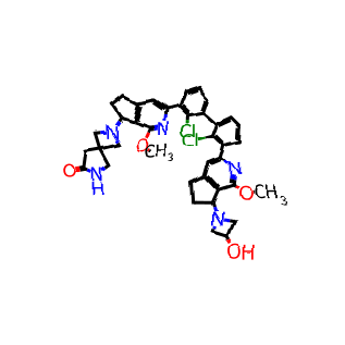 COc1nc(-c2cccc(-c3cccc(-c4cc5c(c(OC)n4)C(N4CC6(CNC(=O)C6)C4)CC5)c3Cl)c2Cl)cc2c1C(N1CC(O)C1)CC2